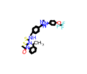 CCc1ccccc1N1C(=O)CS/C1=N\C(=S)NCc1ccc(-c2ncn(-c3ccc(OC(F)(F)F)cc3)n2)cc1